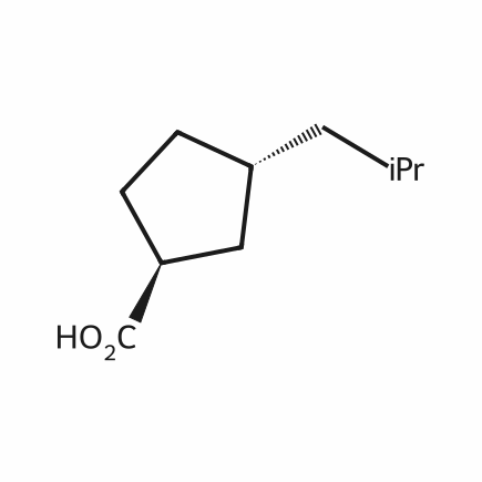 CC(C)C[C@H]1CC[C@H](C(=O)O)C1